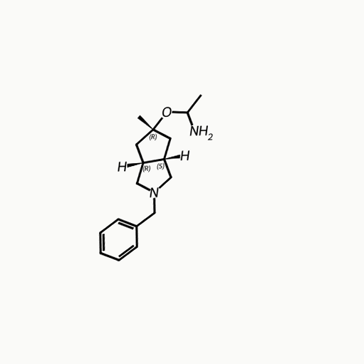 CC(N)O[C@@]1(C)C[C@H]2CN(Cc3ccccc3)C[C@H]2C1